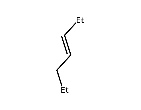 [CH]CCC=CC[CH2]